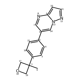 CC1(c2ccc(-c3cnc4ccnn4c3)cc2)COC1